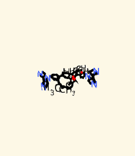 Cc1cc(-n2c3ccncc3c3cnccc32)ccc1-c1ccc2c(c1)C13c4cc(ccc4-2)-c2ccc(-n4c5ccncc5c5cnccc54)cc2CC(C)(C)c2ccc(c1c2)-c1ccc(C(C)(C)C)cc13